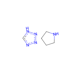 C1CCNC1.c1nnn[nH]1